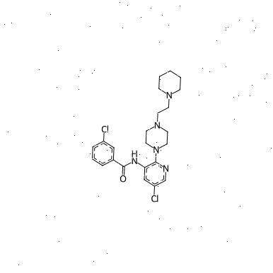 O=C(Nc1cc(Cl)cnc1N1CCN(CCN2CCCCC2)CC1)c1cccc(Cl)c1